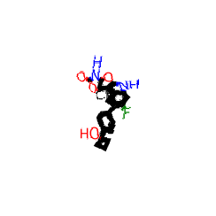 C[C@@]1(c2c[nH]c3cc(F)c(-c4ccc(C5(O)CCC5)cc4)cc23)OC(=O)NC1=O